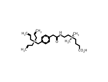 C=CC[N+](CC=C)(CC=C)Cc1ccc(CC(=O)NCC[N+](C)(C)CCCC(=O)O)cc1